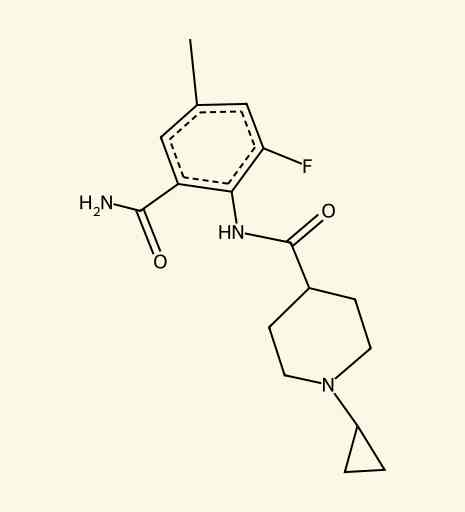 Cc1cc(F)c(NC(=O)C2CCN(C3CC3)CC2)c(C(N)=O)c1